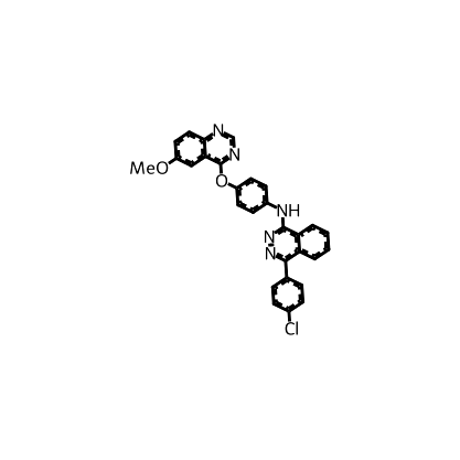 COc1ccc2ncnc(Oc3ccc(Nc4nnc(-c5ccc(Cl)cc5)c5ccccc45)cc3)c2c1